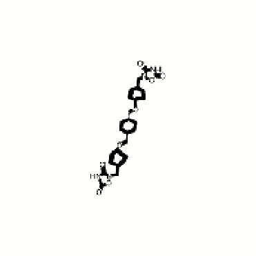 O=c1[nH]c(=O)n(Cc2ccc(OC[C@H]3CC[C@H](COc4ccc(Cn5oc(=O)[nH]c5=O)cc4)CC3)cc2)o1